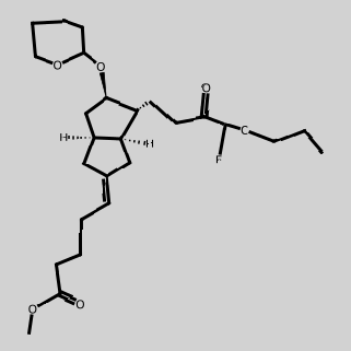 CCCCC(F)C(=O)CC[C@@H]1[C@H]2CC(=CCCCC(=O)OC)C[C@H]2C[C@H]1OC1CCCCO1